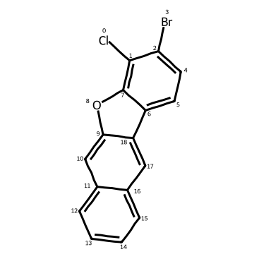 Clc1c(Br)ccc2c1oc1cc3ccccc3cc12